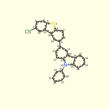 Clc1ccc2sc3ccc(-c4ccc5c(c4)c4ccccc4n5-c4ccccc4)cc3c2c1